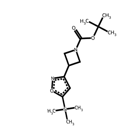 CC(C)(C)OC(=O)N1CC(c2cc([Si](C)(C)C)on2)C1